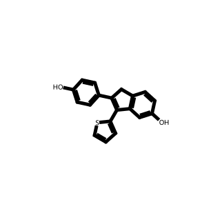 Oc1ccc(C2=C(c3cccs3)c3cc(O)ccc3C2)cc1